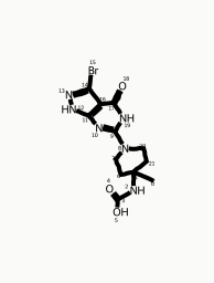 CC1(NC(=O)O)CCN(c2nc3[nH]nc(Br)c3c(=O)[nH]2)CC1